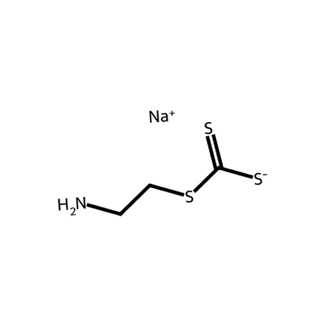 NCCSC(=S)[S-].[Na+]